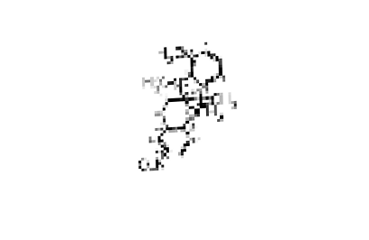 Cc1cccc2c1N(C)C1(CCc3cc([N+](=O)[O-])ccc3O1)C2(C)C